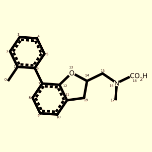 Cc1ccccc1-c1cccc2c1OC(CN(C)C(=O)O)C2